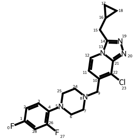 Fc1ccc(N2CCN(Cc3ccn4c(CC5CC5)nnc4c3Cl)CC2)c(F)c1